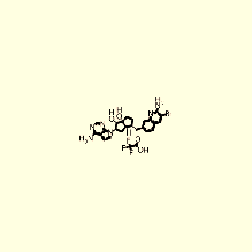 Nc1nc2cc(C[C@@H]3CC[C@@]4(O)[C@@H]3C[C@@H](n3ccc5c(N)ncnc53)[C@@H]4O)ccc2cc1Br.O=C(O)C(F)(F)F